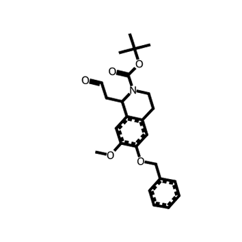 COc1cc2c(cc1OCc1ccccc1)CCN(C(=O)OC(C)(C)C)C2CC=O